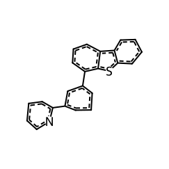 c1ccc(-c2cccc(-c3cccc4c3sc3ccccc34)c2)nc1